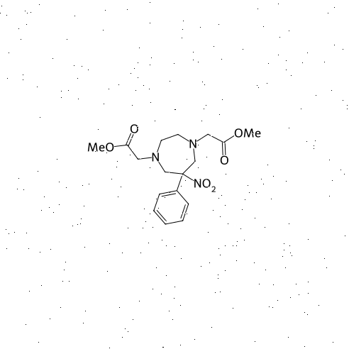 COC(=O)CN1CCN(CC(=O)OC)CC(c2ccccc2)([N+](=O)[O-])C1